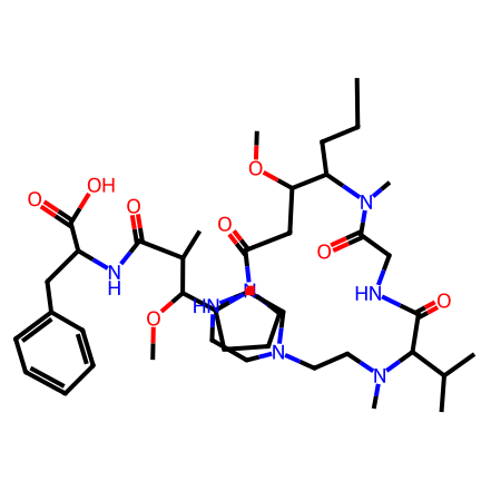 CCCC(C(CC(=O)N1CCCC1C(OC)C(C)C(=O)NC(Cc1ccccc1)C(=O)O)OC)N(C)C(=O)CNC(=O)C(C(C)C)N(C)CCN1CCNCC1